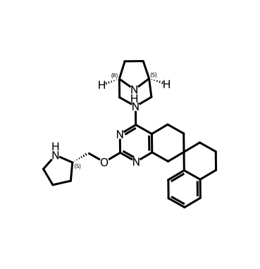 c1ccc2c(c1)CCCC21CCc2c(nc(OC[C@@H]3CCCN3)nc2N2C[C@H]3CC[C@@H](C2)N3)C1